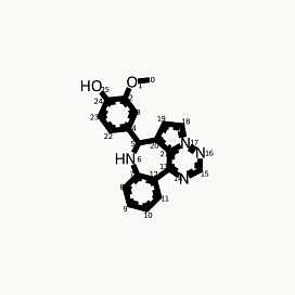 COc1cc(C2Nc3ccccc3-c3ncnn4ccc2c34)ccc1O